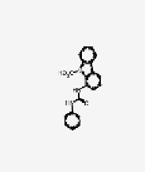 O=C(Nc1ccccc1)Nc1cccc2c3ccccc3n(C(=O)O)c12